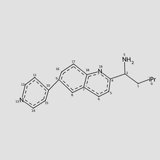 CC(C)CC(N)c1ccc2cc(-c3ccncc3)ccc2n1